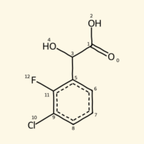 O=C(O)C(O)c1cccc(Cl)c1F